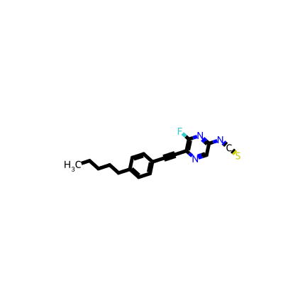 CCCCCc1ccc(C#Cc2ncc(N=C=S)nc2F)cc1